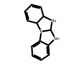 C1=CC2NC3Nc4ccccc4N3C2C=C1